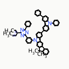 C/C=C\C(=C/C)c1nc(-c2ccccc2)nc(-c2cccc(-n3c4ccc(-c5ccc6c(c5)c5cc(-c7ccccc7)ccc5n6-c5ccccc5)cc4c4cc5c(cc43)C(C)(C)c3ccccc3-5)c2)n1